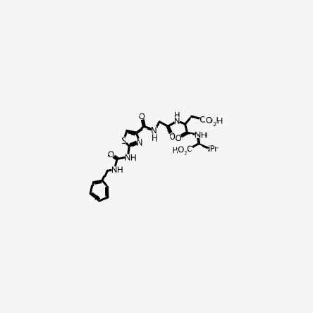 CC(C)C(NC(=O)C(CC(=O)O)NC(=O)CNC(=O)c1csc(NC(=O)NCc2ccccc2)n1)C(=O)O